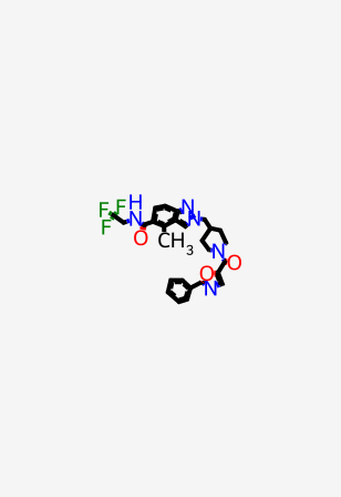 Cc1c(C(=O)NCC(F)(F)F)ccc2nn(CC3CCN(C(=O)c4cnc(-c5ccccc5)o4)CC3)cc12